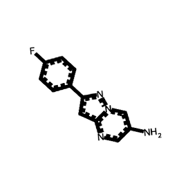 Nc1cnc2cc(-c3ccc(F)cc3)nn2c1